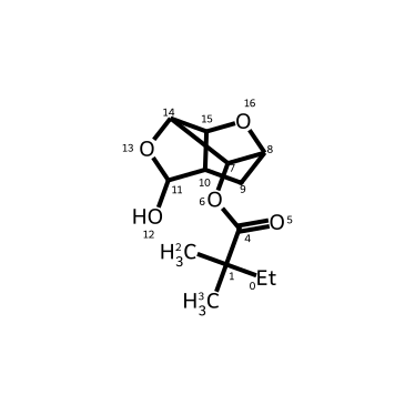 CCC(C)(C)C(=O)OC1C2CC3C(O)OC1C3O2